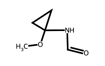 COC1(NC=O)CC1